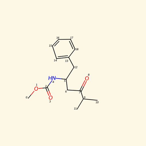 COC(=O)NC(CC(=O)C(C)C)Cc1ccccc1